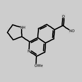 COc1cc2cc(C(=O)N=O)ccc2c(C2CCCN2)n1